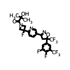 CC(C)(O)C(=O)N1CC(F)(c2ccc(C3=NOC(c4cc(F)c(F)c(C(F)(F)F)c4)(C(F)(F)F)C3)cn2)C1